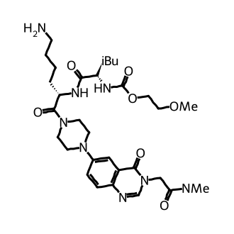 CC[C@H](C)[C@H](NC(=O)OCCOC)C(=O)N[C@@H](CCCCN)C(=O)N1CCN(c2ccc3ncn(CC(=O)NC)c(=O)c3c2)CC1